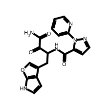 NC(=O)C(=O)C(Cc1coc2[nH]ccc12)NC(=O)c1ccnn1-c1ccccn1